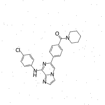 O=C(c1ccc(-c2cn3ccnc3c(Nc3ccc(Cl)cc3)n2)cc1)N1CCCCC1